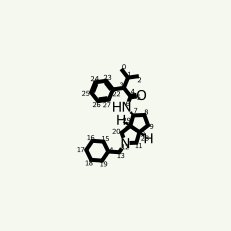 CC(C)C(C(=O)N[C@H]1CC[C@@H]2CN(CC3CCCCC3)C[C@@H]21)c1ccccc1